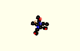 c1ccc(-c2ccc(N3B4c5c(cc6c(sc7ccccc76)c5-c5cc6c(cc53)oc3ccccc36)-n3c5ccc(C67CC8CC(CC(C8)C6)C7)cc5c5cc(C67CC8CC(CC(C8)C6)C7)cc4c53)cc2)cc1